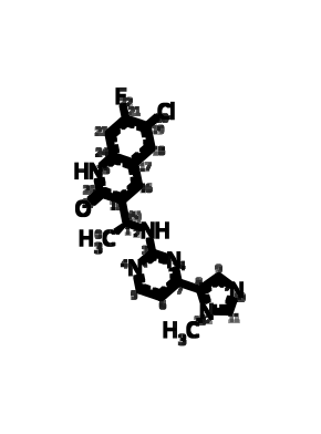 C[C@H](Nc1nccc(-c2cncn2C)n1)c1cc2cc(Cl)c(F)cc2[nH]c1=O